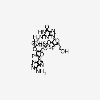 Nc1nc2c(ncn2[C@@H]2O[C@H](CCO)[C@@H](F)[C@H]2OP(=S)(S)OC[C@H]2O[C@@H](n3cnc4c(N)ncnc43)[C@@H](F)[C@@H]2O[PH](=O)S)c(=O)[nH]1